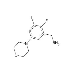 BCc1cc(N2CCOCC2)cc(I)c1F